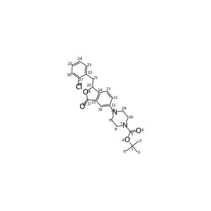 CC(C)(C)OC(=O)N1CCN(c2ccc3c(c2)C(=O)OC3Cc2ccccc2Cl)CC1